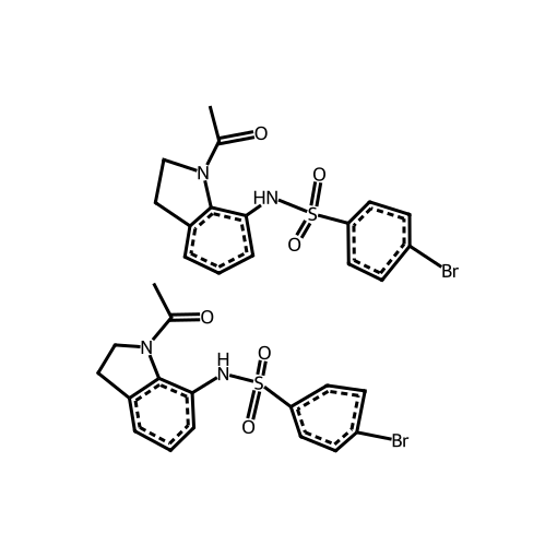 CC(=O)N1CCc2cccc(NS(=O)(=O)c3ccc(Br)cc3)c21.CC(=O)N1CCc2cccc(NS(=O)(=O)c3ccc(Br)cc3)c21